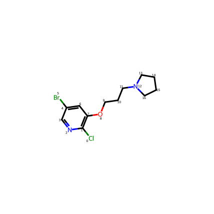 Clc1ncc(Br)cc1OCCCN1CCCC1